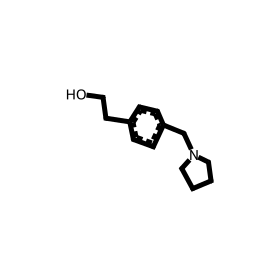 OCCc1ccc(CN2CCCC2)cc1